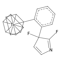 FC1=NC=CC1(F)c1ccccc1[C]12[CH]3[CH]4[CH]5[CH]1[Ti]45321678[CH]2[CH]1[CH]6[CH]7[CH]28